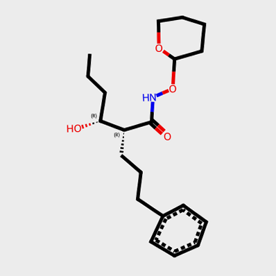 CCC[C@@H](O)[C@@H](CCCc1ccccc1)C(=O)NOC1CCCCO1